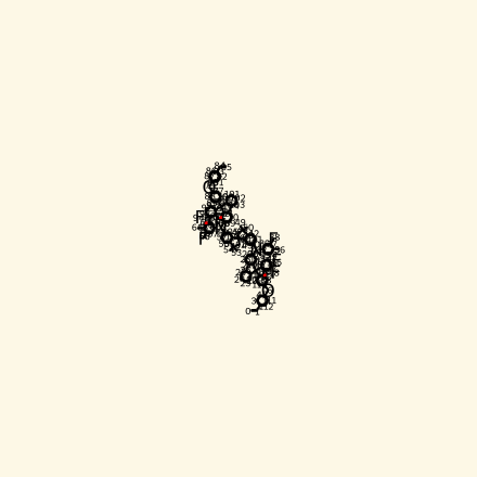 C=Cc1ccc(Oc2ccc(C3(c4ccc(F)c(F)c4F)c4ccccc4-c4ccc(N(c5ccc(C)c(F)c5)c5ccc6c(c5)C5(CC6(C)C)CC(C)(C)c6ccc(N(c7ccc(C)c(F)c7)c7ccc8c(c7)C(c7ccc(Oc9ccc(C=C)cc9)cc7)(c7ccc(F)c(F)c7F)c7ccccc7-8)cc65)cc43)cc2)cc1